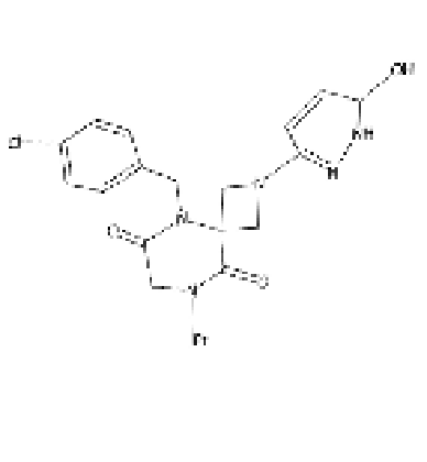 CC(C)N1CC(=O)N(Cc2ccc(Cl)cc2)C2(CN(C3=NNC(O)C=C3)C2)C1=O